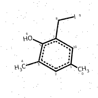 Cc1cc(C)c(O)c(CI)c1